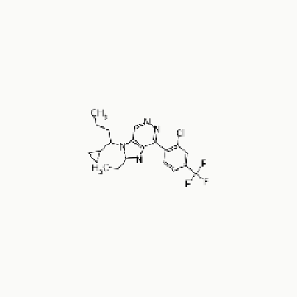 CCCC(C1CC1)n1c(CC)nc2c(-c3ccc(C(F)(F)F)cc3Cl)nncc21